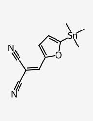 [CH3][Sn]([CH3])([CH3])[c]1ccc(C=C(C#N)C#N)o1